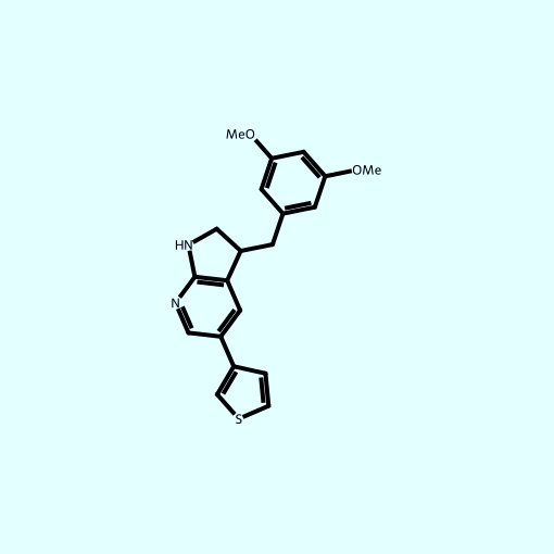 COc1cc(CC2CNc3ncc(-c4ccsc4)cc32)cc(OC)c1